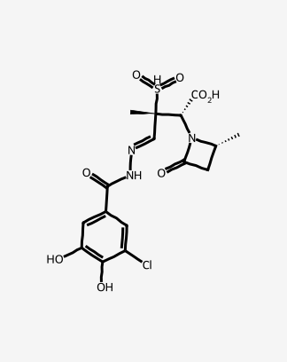 C[C@@H]1CC(=O)N1[C@@H](C(=O)O)[C@](C)(/C=N/NC(=O)c1cc(O)c(O)c(Cl)c1)[SH](=O)=O